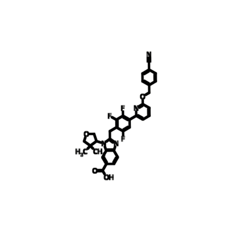 CC1(C)COCC1n1c(Cc2c(F)cc(-c3cccc(OCc4ccc(C#N)cc4)n3)c(F)c2F)nc2ccc(C(=O)O)cc21